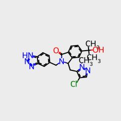 Cn1ncc(Cl)c1CC1c2cc(C(C)(C)O)ccc2C(=O)N1Cc1ccc2[nH]nnc2c1